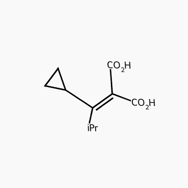 CC(C)C(=C(C(=O)O)C(=O)O)C1CC1